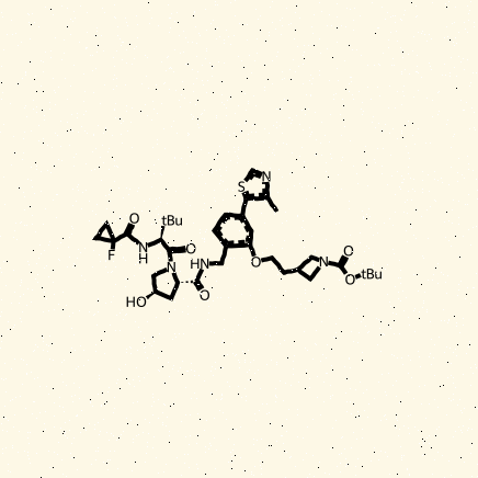 Cc1ncsc1-c1ccc(CNC(=O)[C@@H]2C[C@@H](O)CN2C(=O)[C@@H](NC(=O)C2(F)CC2)C(C)(C)C)c(OCCC2CN(C(=O)OC(C)(C)C)C2)c1